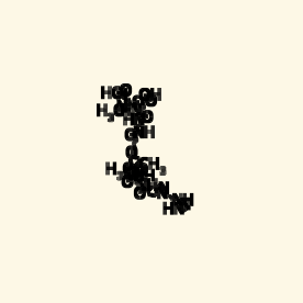 CNC[C@@H](CCC(=O)O)C(=O)NC(CCC(=O)O)C(=O)NCCNC(=O)CCCOc1cc(C)c(S(=O)(=O)N[C@@H](CNC(=O)c2ccc3c(cnn3CCCNc3ncc[nH]3)c2)C(=O)O)c(C)c1